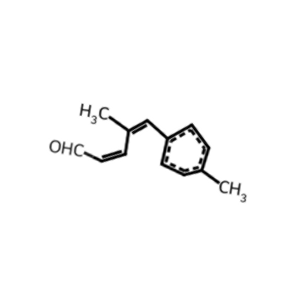 CC(/C=C\C=O)=C/c1ccc(C)cc1